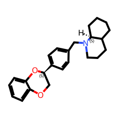 c1ccc2c(c1)OC[C@H](c1ccc(CN3CCCC4CCCC[C@@H]43)cc1)O2